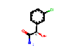 NC(=O)[C@H](O)c1cccc(Cl)c1